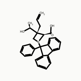 C=CC[C@]1([C@H](C)O)CN(C2(c3ccccc3)c3ccccc3-c3ccccc32)[C@@H]1C(=O)O